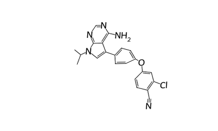 CC(C)n1cc(-c2ccc(Oc3ccc(C#N)c(Cl)c3)cc2)c2c(N)ncnc21